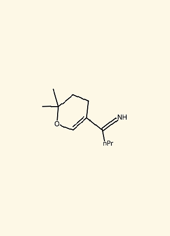 CCCC(=N)C1=COC(C)(C)CC1